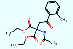 CCOC(=O)C(CC(=O)c1ccccc1C)(NC(C)=O)C(=O)OCC